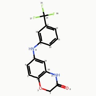 O=C1COc2ccc(Nc3cccc(C(F)(F)F)c3)cc2N1